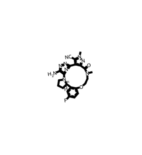 CN1CCOc2ccc(F)cc2[C@H]2CCCN2c2nc(nnc2N)-c2c(nn(C)c2C#N)C1=O